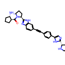 N[C@H]1CCC[C@@H]1C(=O)N1CCC[C@H]1c1nc2ccc(C#Cc3ccc(-c4cnc([C@@H]5CCCN5)[nH]4)cc3)cc2[nH]1